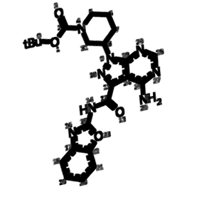 CC(C)(C)OC(=O)N1CCCC(n2nc(C(=O)Nc3nc4ccccc4o3)c3c(N)ncnc32)C1